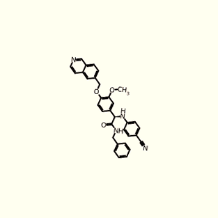 COc1cc([C@@H](Nc2ccc(C#N)cc2)C(=O)NCc2ccccc2)ccc1OCc1ccc2cnccc2c1